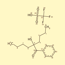 CCCCC(S)(CCCC)C(=O)c1ccccc1.O=S(=O)(O)C(F)(F)F